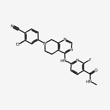 CNC(=O)c1ccc(Nc2ncnc3c2CCN(c2ccc(C#N)c(Cl)c2)C3)nc1F